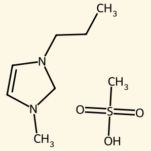 CCCN1C=CN(C)C1.CS(=O)(=O)O